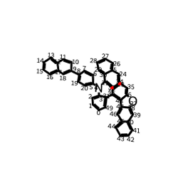 c1ccc(N(c2ccc(-c3ccc4ccccc4c3)cc2)c2cccc3ccccc23)c(-c2cccc3oc4cc5ccccc5cc4c23)c1